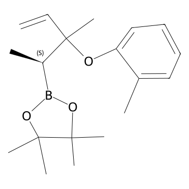 C=CC(C)(Oc1ccccc1C)[C@H](C)B1OC(C)(C)C(C)(C)O1